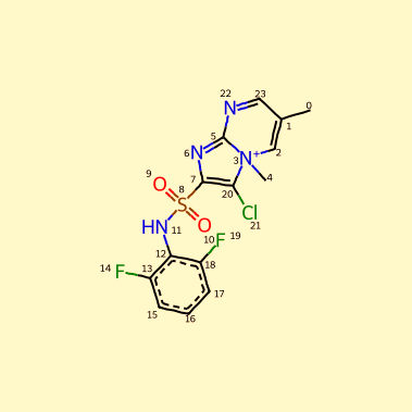 CC1=C[N+]2(C)C(=NC(S(=O)(=O)Nc3c(F)cccc3F)=C2Cl)N=C1